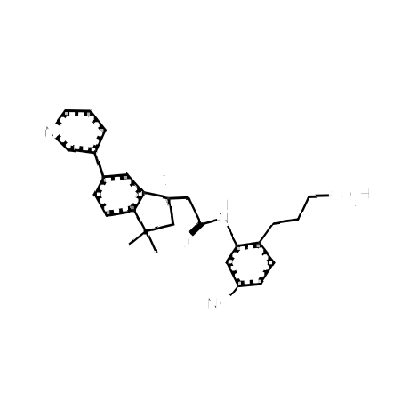 CC1(C)C[C@](C)(CC(=O)Nc2cc(C#N)ccc2CCCC(=O)O)c2cc(-c3cccnc3)ccc21